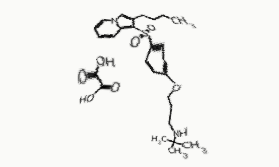 CCCCc1cn2ccccc2c1S(=O)(=O)c1ccc(OCCCNC(C)(C)C)cc1.O=C(O)C(=O)O